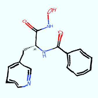 O=C(N[C@H](Cc1cccnc1)C(=O)NO)c1ccccc1